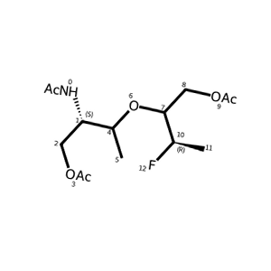 CC(=O)N[C@@H](COC(C)=O)C(C)OC(COC(C)=O)[C@@H](C)F